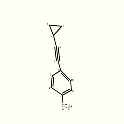 O=C(O)c1ccc(C#CC2CC2)cc1